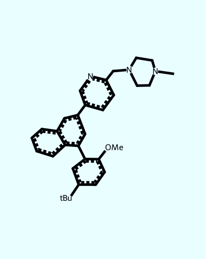 COc1ccc(C(C)(C)C)cc1-c1cc(-c2ccc(CN3CCN(C)CC3)nc2)cc2ccccc12